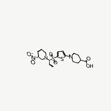 C=CC(N1CCCC([N+](=O)[O-])C1)S(=O)(=O)c1ccc(N2CCC(C(=O)O)CC2)s1